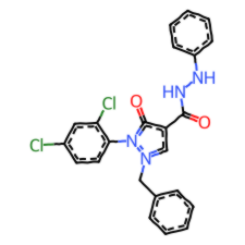 O=C(NNc1ccccc1)c1cn(Cc2ccccc2)n(-c2ccc(Cl)cc2Cl)c1=O